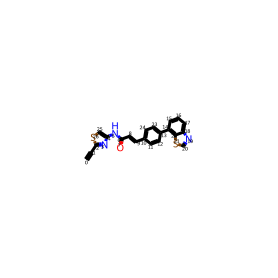 C#Cc1nc(NC(=O)C=Cc2ccc(-c3cccc4ncsc34)cc2)cs1